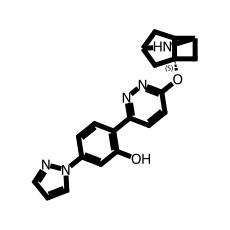 Oc1cc(-n2cccn2)ccc1-c1ccc(O[C@]23CC4CC2C(C3)N4)nn1